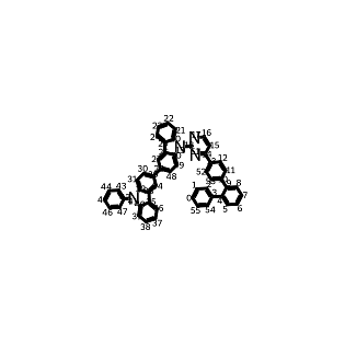 c1ccc(-c2ccccc2-c2ccc(-c3ccnc(-n4c5ccccc5c5cc(-c6ccc7c(c6)c6ccccc6n7-c6ccccc6)ccc54)n3)cc2)cc1